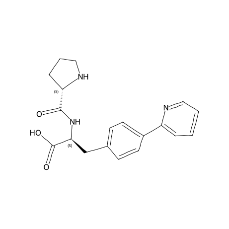 O=C(O)[C@H](Cc1ccc(-c2ccccn2)cc1)NC(=O)[C@@H]1CCCN1